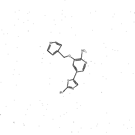 CC(C)c1ncc(-c2cnc([N+](=O)[O-])c(OCc3ccncc3)c2)s1